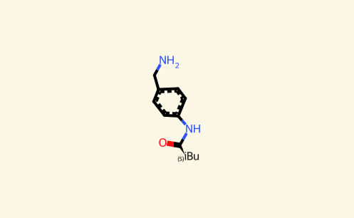 CC[C@H](C)C(=O)Nc1ccc(CN)cc1